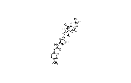 Cc1cnc(CC(=O)Nc2cc([C@H]3CC[C@@H](C4CC4(CC(F)(F)F)OC(N)=O)C3)[nH]n2)cn1